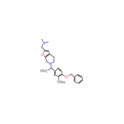 COc1cc(C(C=O)N2CCc3cc(CN(C)C)oc3C2)ccc1OCc1ccccc1